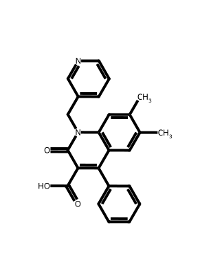 Cc1cc2c(-c3ccccc3)c(C(=O)O)c(=O)n(Cc3cccnc3)c2cc1C